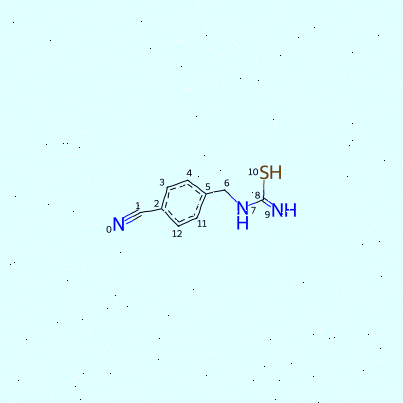 N#Cc1ccc(CNC(=N)S)cc1